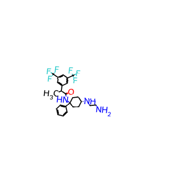 CC(C(=O)N[C@]1(c2ccccc2)CC[C@@H](NCCN)CC1)c1cc(C(F)(F)F)cc(C(F)(F)F)c1